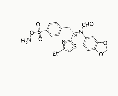 CCc1csc([C@H](Cc2ccc(S(=O)(=O)ON)cc2)N(C=O)c2ccc3c(c2)OCO3)n1